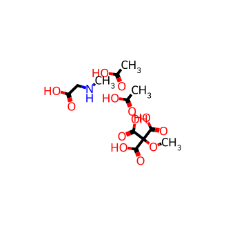 CC(=O)O.CC(=O)O.CNCC(=O)O.COC(C(=O)O)(C(=O)O)C(=O)O